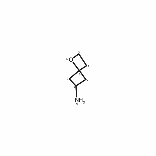 NC1CC2(CCO2)C1